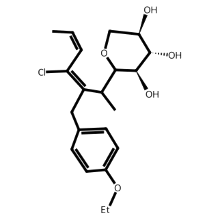 C/C=C\C(Cl)=C(\Cc1ccc(OCC)cc1)C(C)C1OC[C@@H](O)[C@H](O)[C@H]1O